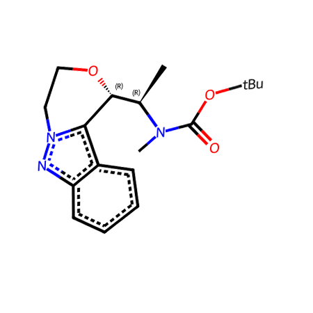 C[C@H]([C@H]1OCCn2nc3ccccc3c21)N(C)C(=O)OC(C)(C)C